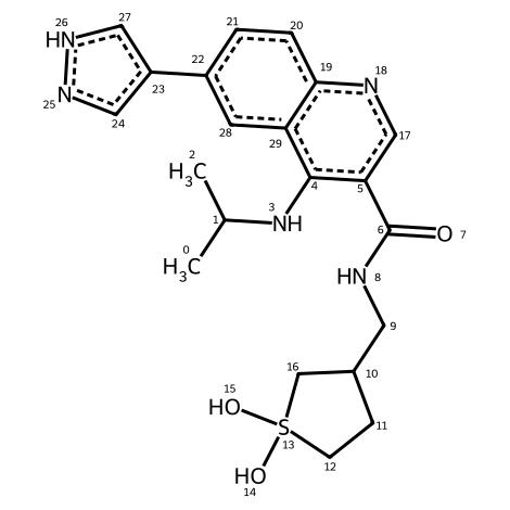 CC(C)Nc1c(C(=O)NCC2CCS(O)(O)C2)cnc2ccc(-c3cn[nH]c3)cc12